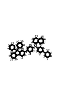 c1ccc(-c2ccc(N(c3ccc(-c4ccc5c(c4)C(c4ccccc4)(c4ccccc4)c4ccccc4-5)cc3)c3cccc4ccccc34)cc2)cc1